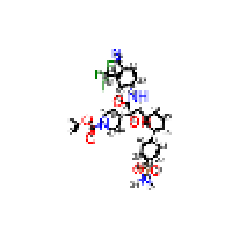 C=C(C)OC(=O)N1CCC(C(O)(Cc2cccc(-c3ccc(S(=O)(=O)N(C)C)cc3)c2)C(=O)Nc2ccc(C#N)c(C(F)(F)F)c2)CC1